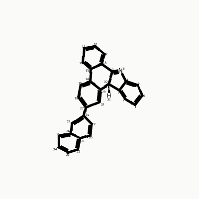 c1ccc2c(c1)N=C1c3ccccc3-c3ccc(-c4ccc5ccccc5c4)cc3[C@H]12